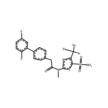 [2H]C([2H])([2H])c1nc(N(C)C(=O)Cc2ccc(-c3cc(F)ccc3F)cc2)sc1S(N)(=O)=O